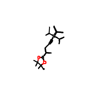 CC(CC#C[Si](C(C)C)(C(C)C)C(C)C)B1OC(C)(C)C(C)(C)O1